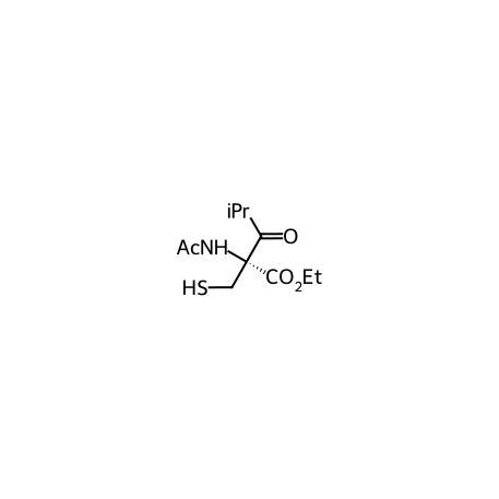 CCOC(=O)[C@](CS)(NC(C)=O)C(=O)C(C)C